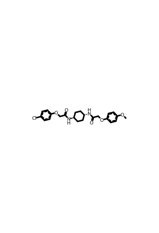 COc1ccc(OCC(=O)N[C@H]2CC[C@H](NC(=O)COc3ccc(Cl)cc3)CC2)cc1